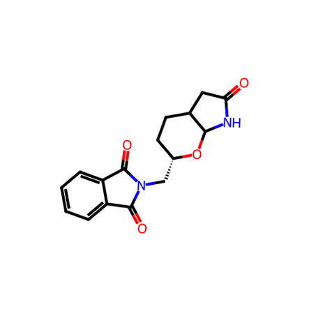 O=C1CC2CC[C@@H](CN3C(=O)c4ccccc4C3=O)OC2N1